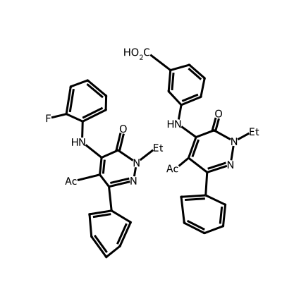 CCn1nc(-c2ccccc2)c(C(C)=O)c(Nc2cccc(C(=O)O)c2)c1=O.CCn1nc(-c2ccccc2)c(C(C)=O)c(Nc2ccccc2F)c1=O